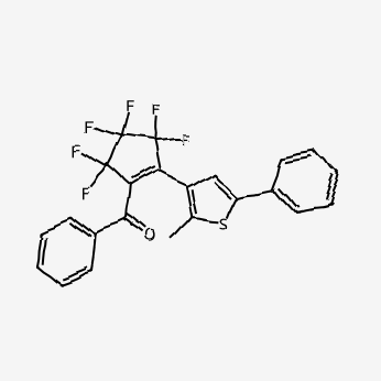 Cc1sc(-c2ccccc2)cc1C1=C(C(=O)c2ccccc2)C(F)(F)C(F)(F)C1(F)F